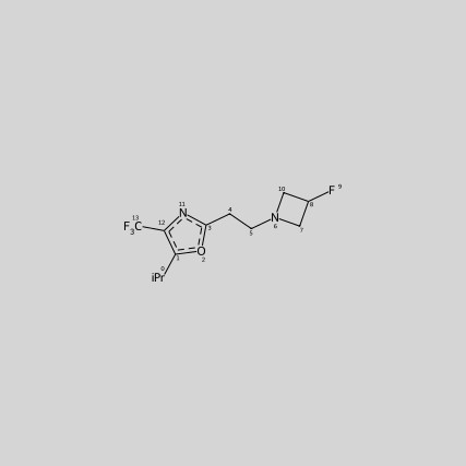 CC(C)c1oc(CCN2CC(F)C2)nc1C(F)(F)F